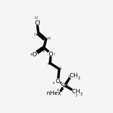 CCCCCC[Si](C)(C)OCCOC(=O)C=CCl